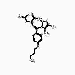 CCCCOc1ccc(C2=N[C@@H](CC(=O)O)C(=O)Nc3sc(C)c(C)c32)cc1